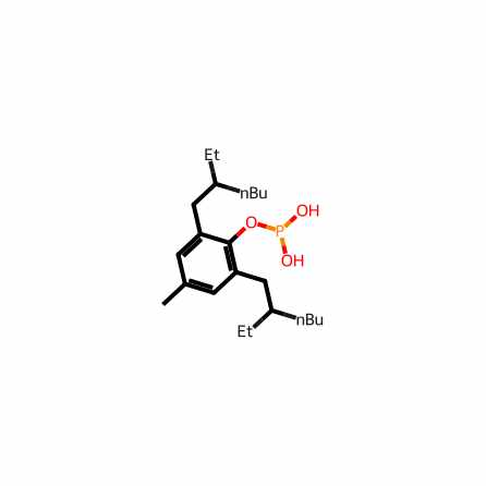 CCCCC(CC)Cc1cc(C)cc(CC(CC)CCCC)c1OP(O)O